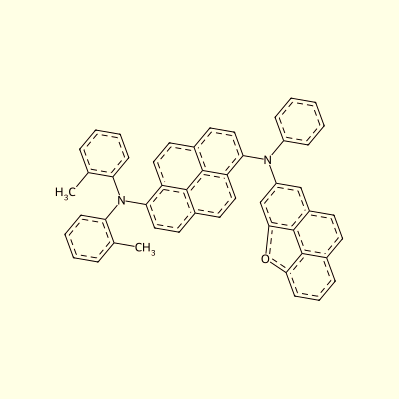 Cc1ccccc1N(c1ccccc1C)c1ccc2ccc3c(N(c4ccccc4)c4cc5ccc6cccc7oc(c4)c5c67)ccc4ccc1c2c43